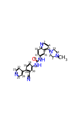 CN1CCN(c2ccnc3ccc(NC(=O)Nc4ccc(-c5ccncc5)c(C#N)c4)cc23)CC1